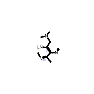 C=NC(/C(C)=N\C)=C(/N)CN(C)C